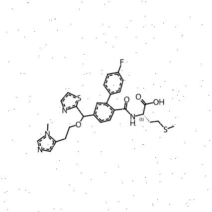 CSCC[C@H](NC(=O)c1ccc(C(OCCc2cncn2C)c2nccs2)cc1-c1ccc(F)cc1)C(=O)O